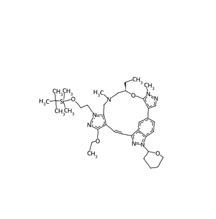 CCOc1nn(CCO[Si](C)(C)C(C)(C)C)c2c1/C=C/c1nn(C3CCCCO3)c3ccc(cc13)-c1cnn(C)c1O[C@H](CC)CN(C)C2